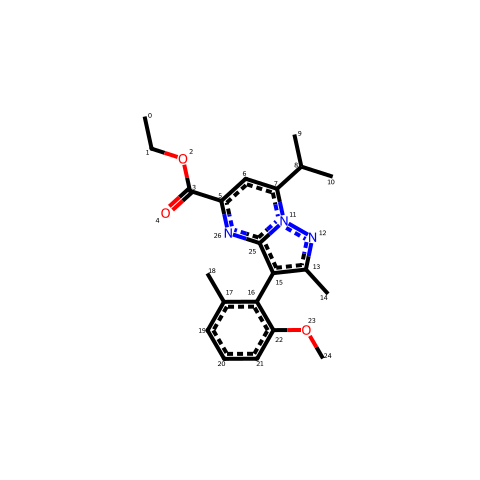 CCOC(=O)c1cc(C(C)C)n2nc(C)c(-c3c(C)cccc3OC)c2n1